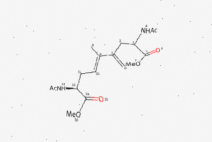 C=C(CC(NC(C)=O)C(=O)OC)C(C)=CC[C@H](NC(C)=O)C(=O)OC